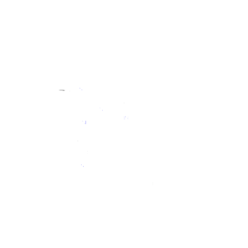 CN(C)C(=O)C(=O)NC12CCC(CC1)Cn1c2nc(C(=O)NCc2ccc(F)cc2-c2ccccc2)c(O)c1=O